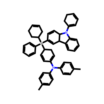 Cc1ccc(N(C2=CCC([Si](C3=CC4c5ccccc5N(C5=CC=CCC5)C4C=C3)(c3ccccc3)C3CC=CCC3)C=C2)c2ccc(C)cc2)cc1